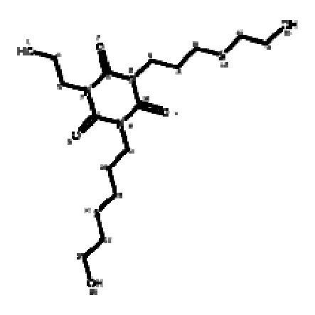 O=c1n(CCO)c(=O)n(CCCSCCO)c(=O)n1CCCSCCO